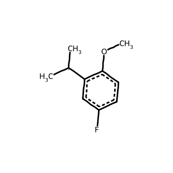 COc1ccc(F)cc1[C](C)C